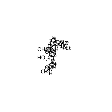 CCN1CCN(C(=O)NC(C(=O)N[C@]2(NC=O)C(=O)N3C(C(=O)O)=C(CSc4nnc(NC(=O)CCl)s4)CS[C@@H]32)c2ccccc2)C(=O)C1=O